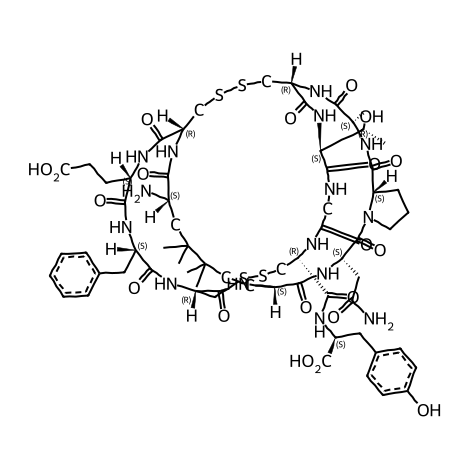 C[C@@H]1NC(=O)[C@@H]2CCCN2C(=O)[C@H](CC(N)=O)NC(=O)[C@@H]2CCC(C)(C)C(C)(C)C[C@H](N)C(=O)N[C@H]3CSSC[C@H](NC1=O)C(=O)N[C@@H]([C@@H](C)O)C(=O)NCC(=O)N[C@H](C(=O)N[C@@H](Cc1ccc(O)cc1)C(=O)O)CSSC[C@H](NC(=O)[C@H](Cc1ccccc1)NC(=O)[C@H](CCC(=O)O)NC3=O)C(=O)N2